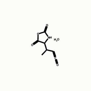 CC(C=C=O)C1NC(=O)OC1=O.O